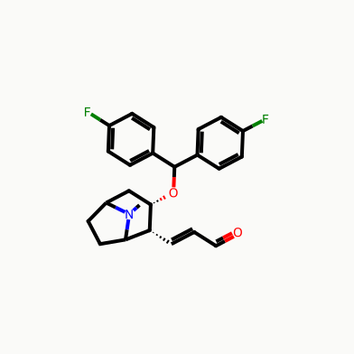 CN1C2CCC1[C@@H](/C=C/C=O)[C@@H](OC(c1ccc(F)cc1)c1ccc(F)cc1)C2